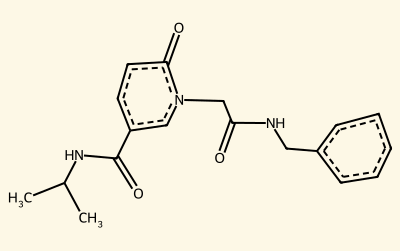 CC(C)NC(=O)c1ccc(=O)n(CC(=O)NCc2ccccc2)c1